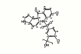 CC(C)(O)c1cc(S(=O)(=O)Nc2cc(Cl)cnc2C(=O)c2ccnc3[nH]ccc23)ccc1Cl